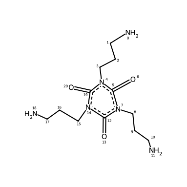 NCCCn1c(=O)n(CCCN)c(=O)n(CCCN)c1=O